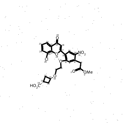 COC(=O)Cc1cc(OCCO[C@H]2C[C@@H](C(=O)O)C2)c(-c2cc(=O)c3cccc(Cl)c3o2)cc1[N+](=O)[O-]